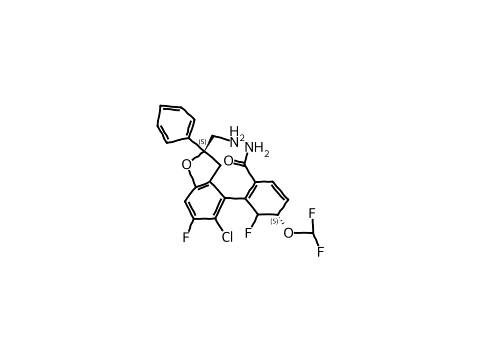 NC[C@@]1(c2ccccc2)Cc2c(cc(F)c(Cl)c2C2=C(C(N)=O)C=C[C@H](OC(F)F)C2F)O1